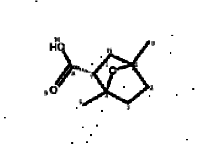 CC12CCC(C)(O1)[C@H](C(=O)O)C2